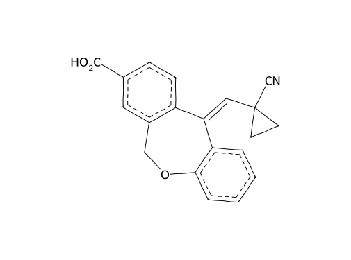 N#CC1(C=C2c3ccc(C(=O)O)cc3COc3ccccc32)CC1